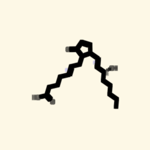 CCCCC[C@@H](O)/C=C/C1C=CC(=O)C1C/C=C/CCCC(=O)O